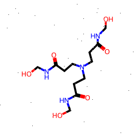 O=C(CCN(CCC(=O)NCO)CCC(=O)NCO)NCO